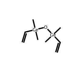 C=[CH][Ge]([CH3])([CH3])[O][Ge]([CH3])([CH3])[CH]=C